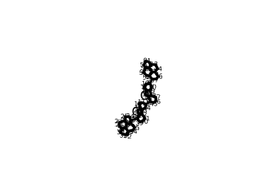 c1cc2ccc3ccc(-c4ccc5oc6c(-c7ccc8oc9c(-c%10ccc%11ccc%12cccc%13ccc%10c%11c%12%13)cccc9c8c7)cccc6c5c4)c4ccc(c1)c2c34